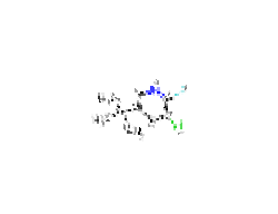 CC(C)(C)c1cnc(F)c(Cl)c1